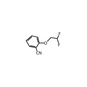 N#Cc1ccccc1OCC(F)F